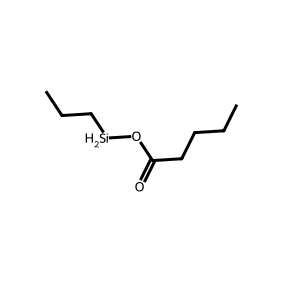 CCCCC(=O)O[SiH2]CCC